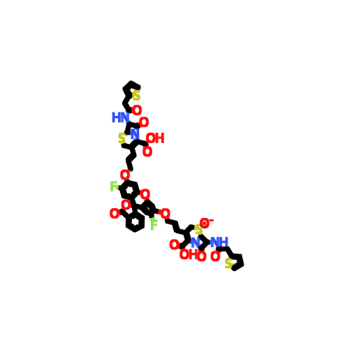 O=C(Cc1cccs1)NC1C(=O)N2C(C(=O)O)=C(/C=C/COc3cc4c(cc3F)C3(OC(=O)c5ccccc53)c3cc(F)c(OC/C=C/C5=C(C(=O)O)N6C(=O)C(NC(=O)Cc7cccs7)C6[S@+]([O-])C5)cc3O4)CSC12